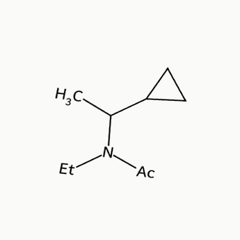 CCN(C(C)=O)C(C)C1CC1